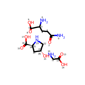 NC(=O)CCC(N)C(=O)O.NCC(=O)O.O=C(O)[C@@H]1C[C@@H](O)CN1